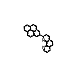 c1cnc2c(c1)ccc1ccc(-c3cc4ccc5cccc6ccc(c3)c4c56)nc12